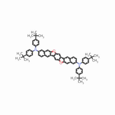 CC(C)(C)c1ccc(N(c2ccc(C(C)(C)C)cc2)c2ccc3cc4c(cc3c2)oc2cc3c(cc24)oc2cc4cc(N(c5ccc(C(C)(C)C)cc5)c5ccc(C(C)(C)C)cc5)ccc4cc23)cc1